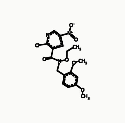 CCON(Cc1ccc(OC)cc1OC)C(=O)c1cc([N+](=O)[O-])cnc1Cl